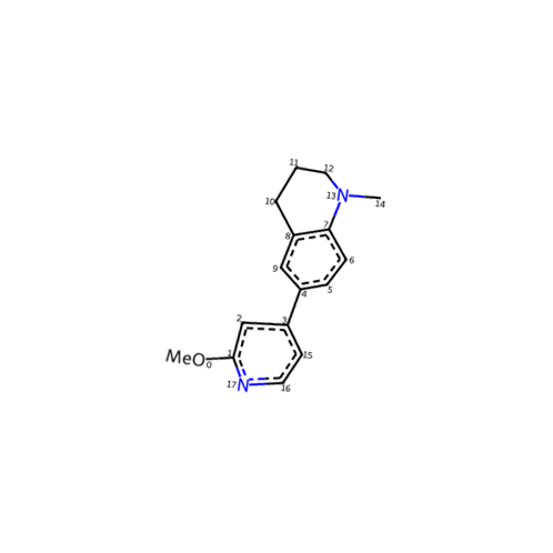 COc1cc(-c2ccc3c(c2)CCCN3C)ccn1